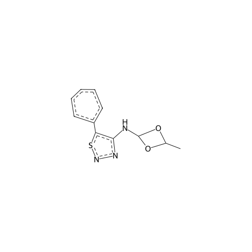 CC1OC(Nc2nnsc2-c2ccccc2)O1